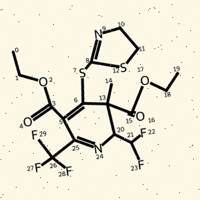 CCOC(=O)C1=C(SC2=NCCS2)C(C)(C(=O)OCC)C(C(F)F)N=C1C(F)(F)F